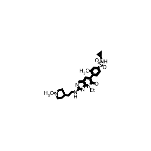 CCn1c(=O)c(-c2ccc(S(=O)(=O)NC3CC3)cc2C)cc2cnc(NCCC3CCN(C)CC3)nc21